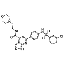 O=C(NCCN1CCOCC1)c1cc(-c2ccc(NS(=O)(=O)c3cccc(Cl)c3)cc2)nc2[nH]ncc12